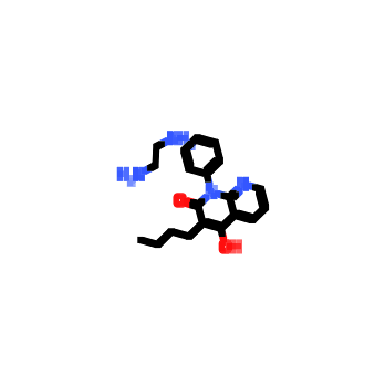 CCCCc1c(O)c2cccnc2n(-c2ccccc2)c1=O.NCCN